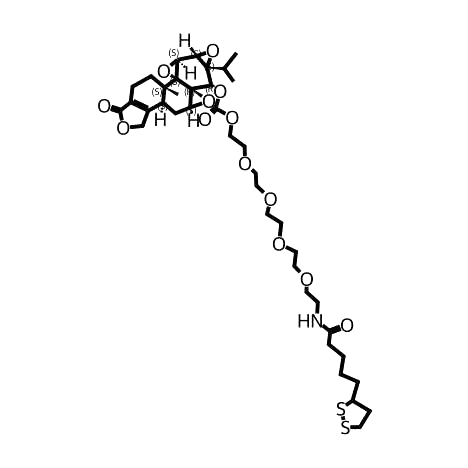 CC(C)[C@]12O[C@H]1[C@@H]1O[C@]13[C@]1(O[C@H]1C[C@H]1C4=C(CC[C@@]13C)C(=O)OC4)[C@@H]2OC(=O)OCCOCCOCCOCCOCCNC(=O)CCCCC1CCSS1